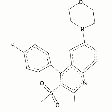 Cc1nc2ccc(N3CCOCC3)cc2c(-c2ccc(F)cc2)c1S(C)(=O)=O